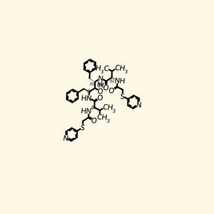 CC(C)[C@H](NC(=O)CSc1ccncc1)C(=O)N[C@@H](Cc1ccccc1)C(O)[C@H](Cc1ccccc1)NC(=O)[C@@H](NC(=O)CSc1ccncc1)C(C)C